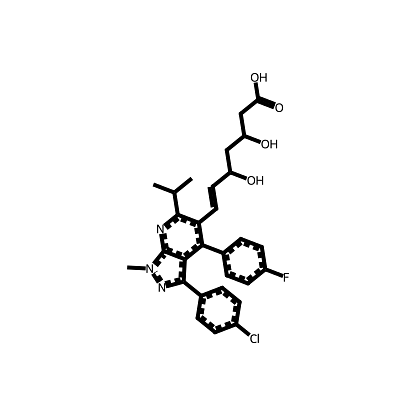 CC(C)c1nc2c(c(-c3ccc(Cl)cc3)nn2C)c(-c2ccc(F)cc2)c1C=CC(O)CC(O)CC(=O)O